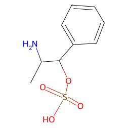 CC(N)C(OS(=O)(=O)O)c1ccccc1